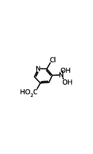 O=C(O)c1cnc(Cl)c(N(O)O)c1